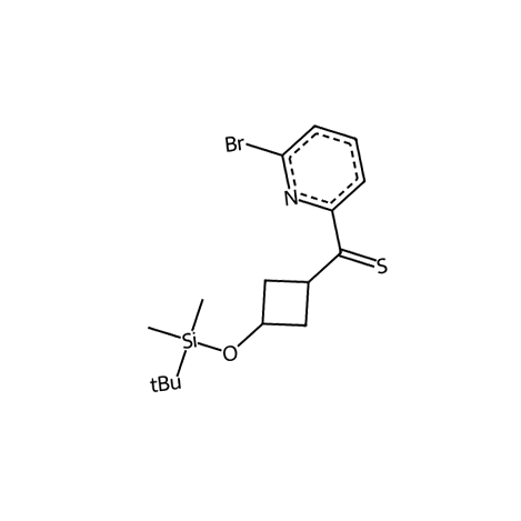 CC(C)(C)[Si](C)(C)OC1CC(C(=S)c2cccc(Br)n2)C1